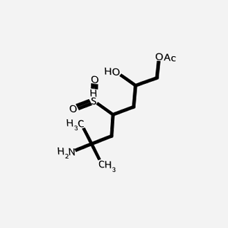 CC(=O)OCC(O)CC(CC(C)(C)N)[SH](=O)=O